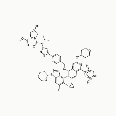 COC(=O)[C@@H]1C[C@@H](O)CN1C(=O)[C@H](C(C)C)n1cc(-c2ccc(COc3c(-c4c(C)c(F)cc5c4cnn5C4CCCCO4)c(C4CC4)cc4c(N5C[C@@H]6C[C@H]5CN6)nc(OC5CCOCC5)nc34)cc2)nn1